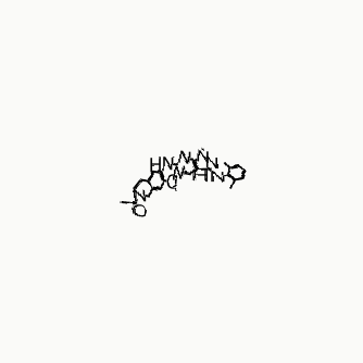 COc1cc2c(cc1Nc1ncc3c(Nc4c(C)cccc4C)nn(C)c3n1)CCN(C(C)=O)C2